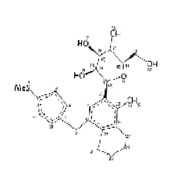 CSc1ccc(Cc2cc([C@@H]3O[C@H](CO)C(O)[C@H](O)[C@@H]3O)c(C)c3c2CCCC3)cc1